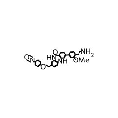 COc1cc(-c2ccc3c(c2)Nc2ccc(CCOc4ccc(N5CCOCC5)cc4)cc2NC3=O)ccc1CCN